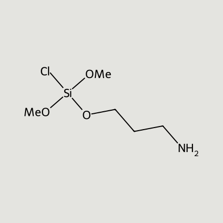 CO[Si](Cl)(OC)OCCCN